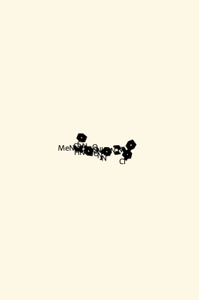 CNCCC(CSc1ccccc1)Nc1ccc(S(=O)(=O)Nc2ncnc3cc(N4CCN(Cc5cc(Cl)ccc5-c5ccccc5)CC4)ccc23)cc1[N+](=O)[O-]